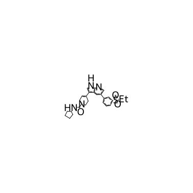 CCS(=O)(=O)c1cccc(-c2cnc3[nH]cc(C4=CCN(C(=O)NC5CCCC5)CC4)c3c2)c1